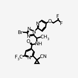 CC(NC(=O)c1cc(C(F)(F)F)nc(C2(C#N)CC2)c1)c1nc(Br)nn1-c1ccc(OCC(F)F)cn1